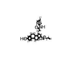 C=CCON=C1C[C@@H](CCC(=O)Nc2ncc(C)s2)C2C3CCc4cc(O)ccc4C3CC[C@]12C